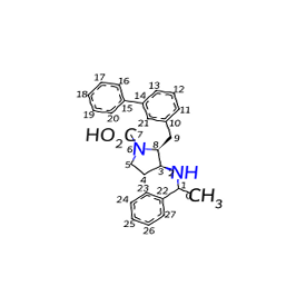 CC(N[C@H]1CCN(C(=O)O)[C@H]1Cc1cccc(-c2ccccc2)c1)c1ccccc1